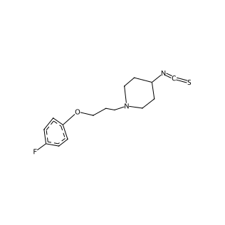 Fc1ccc(OCCCN2CCC(N=C=S)CC2)cc1